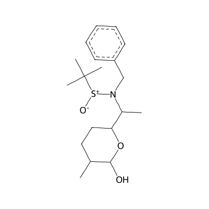 CC1CCC(C(C)N(Cc2ccccc2)[S+]([O-])C(C)(C)C)OC1O